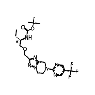 CC[C@@H](COCc1nc2n(n1)CCN(c1ncc(C(F)(F)F)cn1)C2)NC(=O)OC(C)(C)C